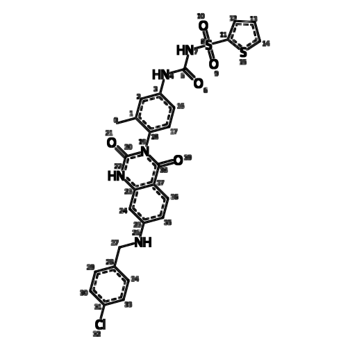 Cc1cc(NC(=O)NS(=O)(=O)c2cccs2)ccc1-n1c(=O)[nH]c2cc(NCc3ccc(Cl)cc3)ccc2c1=O